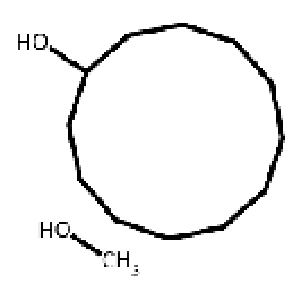 CO.OC1CCCCCCCCCCC1